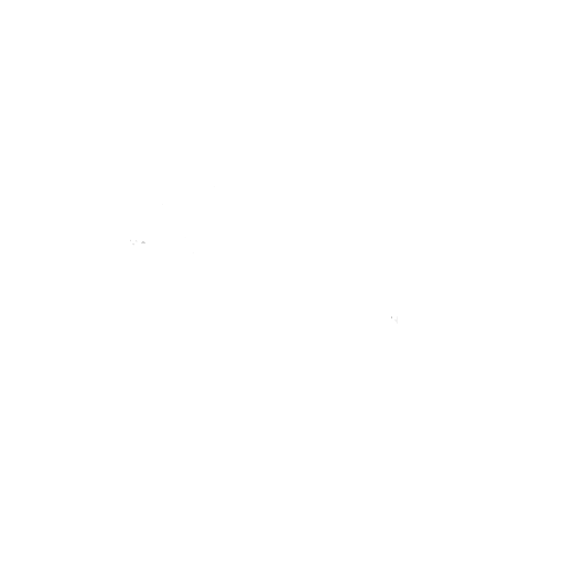 COC1(c2cccc(OCC#Cc3ccccn3)c2)CCOC1C